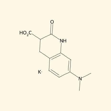 CN(C)c1ccc2c(c1)NC(=O)C(C(=O)O)C2.[K]